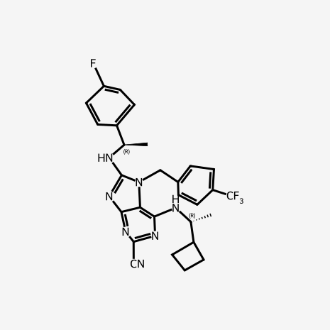 C[C@@H](Nc1nc2nc(C#N)nc(N[C@H](C)C3CCC3)c2n1Cc1ccc(C(F)(F)F)cc1)c1ccc(F)cc1